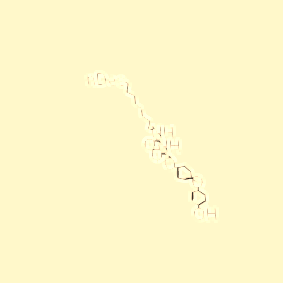 CCCCCCCCCCCCCCCCCCNC(=O)NC(=O)COc1ccc(Oc2ccc(O)cc2)cc1